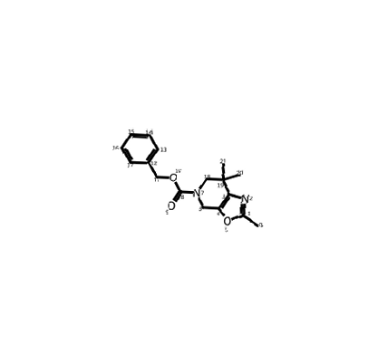 Cc1nc2c(o1)CN(C(=O)OCc1ccccc1)CC2(C)C